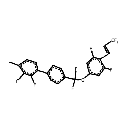 Cc1ccc(-c2ccc(C(F)(F)Oc3cc(F)c(/C=C/C(F)(F)F)c(F)c3)cc2)c(F)c1F